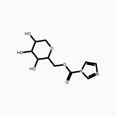 O=C(OCC1OCC(O)C(O)C1O)n1ccnc1